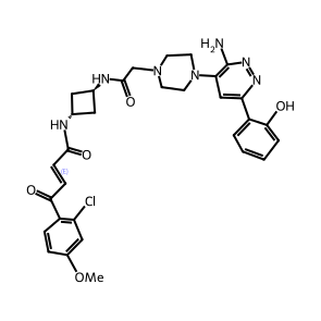 COc1ccc(C(=O)/C=C/C(=O)N[C@H]2C[C@H](NC(=O)CN3CCN(c4cc(-c5ccccc5O)nnc4N)CC3)C2)c(Cl)c1